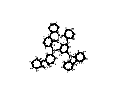 c1ccc2c(c1)-c1cccc3c1B1c4c(cc(-n5c6ccccc6c6ccccc65)cc4N3c3ccc4oc5ccccc5c4c3)-c3ccccc3N12